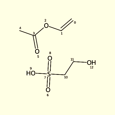 C=COC(C)=O.O=S(=O)(O)CCO